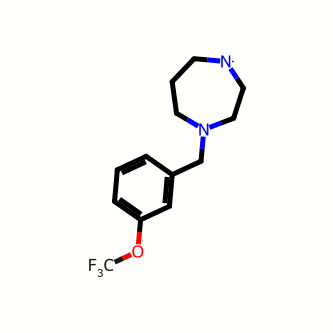 FC(F)(F)Oc1cccc(CN2CCC[N]CC2)c1